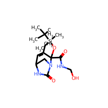 CC1=CC2CN(C(=O)N2)C1(O[Si](C)(C)C(C)(C)C)C(=O)NCO